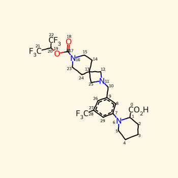 O=C(O)C1CCCCN1c1cc(CN2CC3(CCN(C(=O)OC(C(F)(F)F)C(F)(F)F)CC3)C2)cc(C(F)(F)F)c1